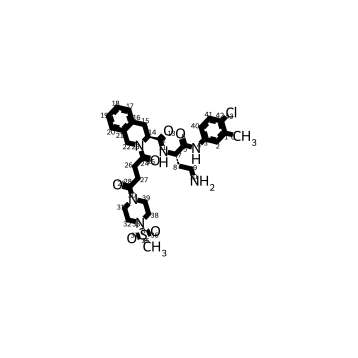 Cc1cc(NC(=O)[C@H](CCN)NC(=O)[C@@H]2Cc3ccccc3CN2C(=O)CCC(=O)N2CCN(S(C)(=O)=O)CC2)ccc1Cl